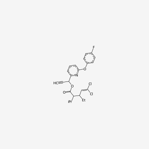 C#CC(OC(=O)C(C(C)C)C(C=C(Cl)Cl)CC)c1cccc(Oc2ccc(F)cc2)n1